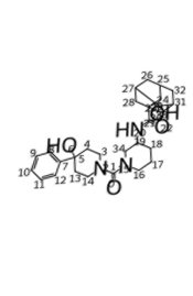 O=C(N1CCC(O)(c2ccccc2)CC1)N1CCCC(NC(=O)C23CC4CC(C2)C(O)C(C4)C3)C1